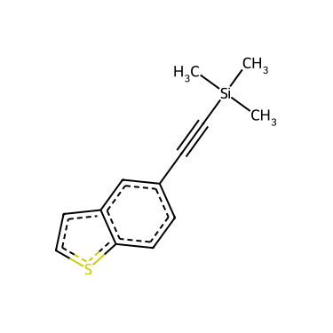 C[Si](C)(C)C#Cc1ccc2sccc2c1